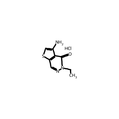 CCn1ncc2scc(N)c2c1=O.Cl